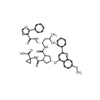 COc1ccc2c(O[C@@H]3CC(C(=O)NC4(C(=O)O)CC4)N(C(=O)N[C@H](CNC(=O)c4ncoc4-c4ccccc4)CC(C)C)C3)cc(-c3ccccc3)nc2c1